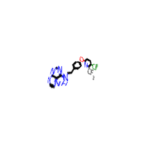 FC(F)(F)c1nc(Oc2ccc(CCNc3ncnc4nccnc34)cc2)ccc1Cl